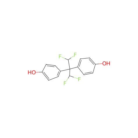 Oc1ccc(C(c2ccc(O)cc2)(C(F)F)C(F)F)cc1